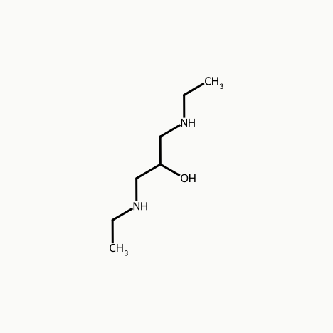 CCNCC(O)CNCC